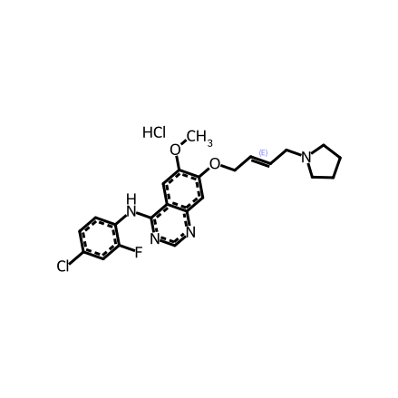 COc1cc2c(Nc3ccc(Cl)cc3F)ncnc2cc1OC/C=C/CN1CCCC1.Cl